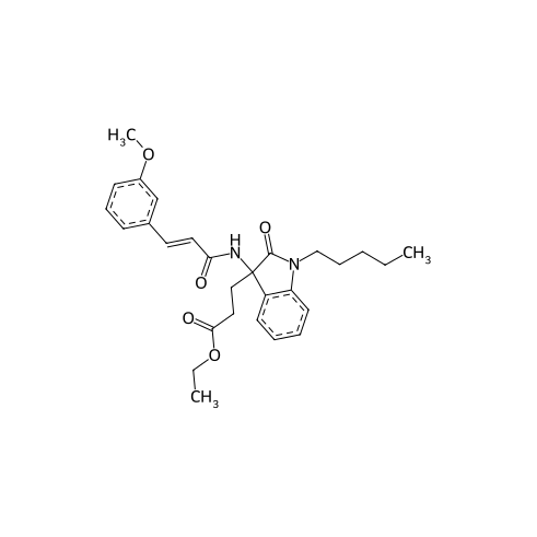 CCCCCN1C(=O)C(CCC(=O)OCC)(NC(=O)/C=C/c2cccc(OC)c2)c2ccccc21